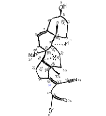 C[C@]12CC[C@H](O)CC1=CC[C@@H]1[C@@H]2CC[C@]2(C)/C(=C(\C#N)CC(=O)[O-])CC[C@@H]12.[Na+]